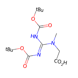 CN(CC(=O)O)C(=NC(=O)OC(C)(C)C)NC(=O)OC(C)(C)C